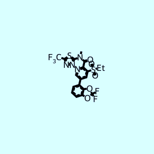 CCS(=O)(=O)c1cc(-c2cccc3c2OC(F)(F)O3)cnc1C(=O)N(C)c1nnc(C(F)(F)F)s1